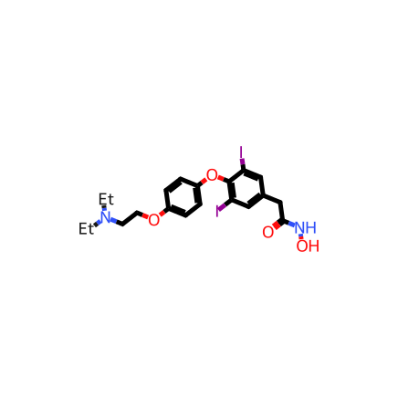 CCN(CC)CCOc1ccc(Oc2c(I)cc(CC(=O)NO)cc2I)cc1